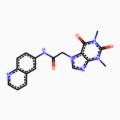 Cn1c(=O)c2c(ncn2CC(=O)Nc2ccc3ncccc3c2)n(C)c1=O